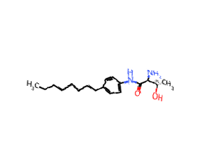 CCCCCCCCc1ccc(NC(=O)C(N)[C@H](C)O)cc1